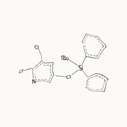 CC(C)(C)[Si](Oc1cnc(Cl)c(Cl)c1)(c1ccccc1)c1ccccc1